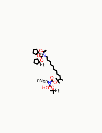 C=C(OC1(CC)CCCC1)N(CCCCCCCCCC(C)C(C)(C)OC(=O)N(CCCCCCCCC)C(O)OC(C)(C)CC)C(=O)OC1(CC)CCCC1